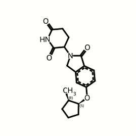 C[C@@H]1CCC[C@@H]1Oc1ccc2c(c1)CN(C1CCC(=O)NC1=O)C2=O